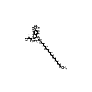 CCCCCCCCCCCCCCCCCCOC(=O)O[C@H](c1ccc(S(C)(=O)=O)cc1)[C@@H](CF)NC(=O)C(Cl)Cl